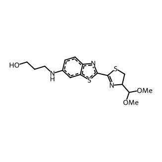 COC(OC)C1CSC(c2nc3ccc(NCCCO)cc3s2)=N1